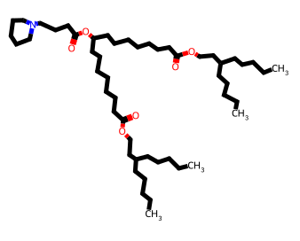 CCCCCC(CCCCC)CCOC(=O)CCCCCCCC(CCCCCCCC(=O)OCCC(CCCCC)CCCCC)OC(=O)CCCN1CCCCC1